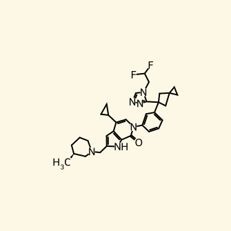 C[C@H]1CCCN(Cc2cc3c(C4CC4)cn(-c4cccc(C5(c6nncn6CC(F)F)CC6(CC6)C5)c4)c(=O)c3[nH]2)C1